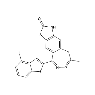 CC1=NN=C(c2cc3c(I)cccc3s2)c2cc3oc(=O)[nH]c3cc2C1